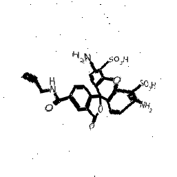 C#CCNC(=O)c1ccc2c(c1)C(=O)OC21c2ccc(N)c(S(=O)(=O)O)c2Oc2c1ccc(N)c2S(=O)(=O)O